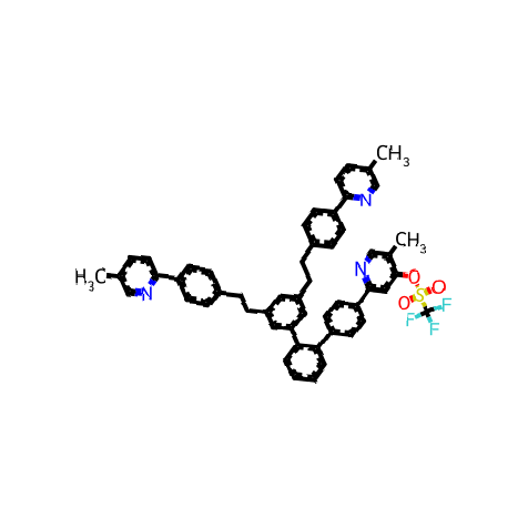 Cc1ccc(-c2ccc(CCc3cc(CCc4ccc(-c5ccc(C)cn5)cc4)cc(-c4ccccc4-c4ccc(-c5cc(OS(=O)(=O)C(F)(F)F)c(C)cn5)cc4)c3)cc2)nc1